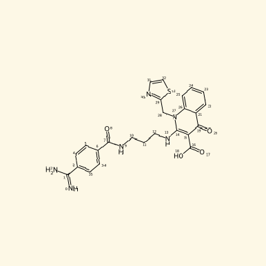 N=C(N)c1ccc(C(=O)NCCCNc2c(C(=O)O)c(=O)c3ccccc3n2Cc2nccs2)cc1